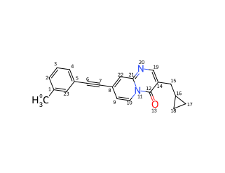 Cc1cccc(C#Cc2ccn3c(=O)c(CC4CC4)cnc3c2)c1